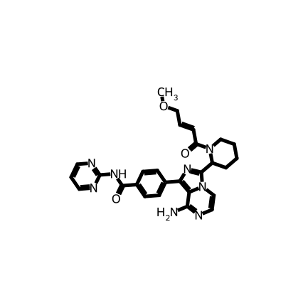 COCC=CC(=O)N1CCCCC1c1nc(-c2ccc(C(=O)Nc3ncccn3)cc2)c2c(N)nccn12